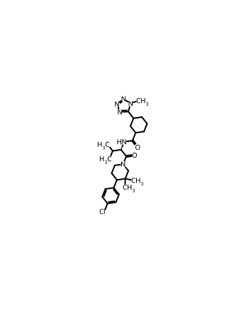 CC(C)[C@@H](NC(=O)C1CCCC(c2nnnn2C)C1)C(=O)N1CCC(c2ccc(Cl)cc2)C(C)(C)C1